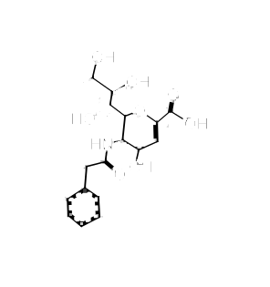 O=C(Cc1ccccc1)N[C@@H]1C(O)C=C(C(=O)O)OC1[C@H](O)[C@H](O)CO